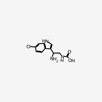 NC(CNC(=O)O)c1c[nH]c2cc(Cl)ccc12